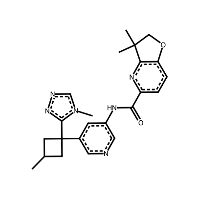 CC1CC(c2cncc(NC(=O)c3ccc4c(n3)C(C)(C)CO4)c2)(c2nncn2C)C1